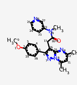 COc1ccc(-c2nn3c(C)cc(C)nc3c2CC(=O)N(C)c2cccnc2)cc1